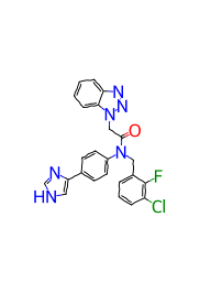 O=C(Cn1nnc2ccccc21)N(Cc1cccc(Cl)c1F)c1ccc(-c2c[nH]cn2)cc1